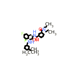 CCCN(CCC)C(=O)c1cccc(C(=O)N[C@@H](Cc2cc(F)cc(F)c2)[C@H](O)CNCc2cccc(C(C)(C)C)c2)c1